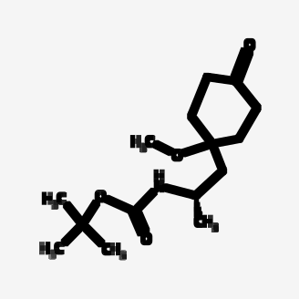 COC1(C[C@H](C)NC(=O)OC(C)(C)C)CCC(=O)CC1